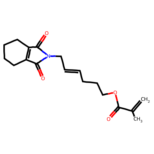 C=C(C)C(=O)OCCC/C=C/CN1C(=O)C2=C(CCCC2)C1=O